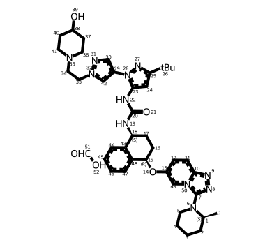 C[C@H]1CCCCN1c1nnc2ccc(O[C@@H]3CC[C@H](NC(=O)Nc4cc(C(C)(C)C)nn4-c4cnn(CCN5CCC(O)CC5)c4)c4ccccc43)cn12.O=CO